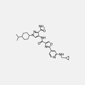 CC(C)C1CCC(n2cc(NC(=O)c3coc(-c4ccnc(NCC5CC5)c4)n3)c(C(N)=O)n2)CC1